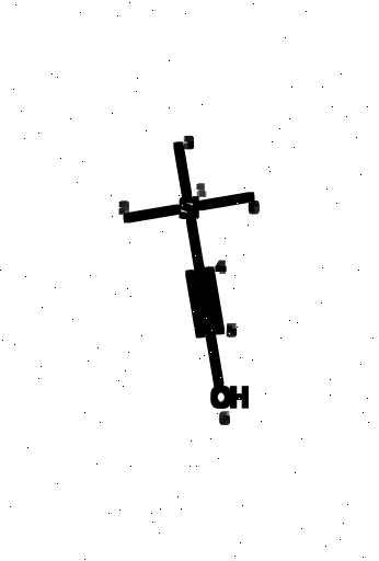 C[Si](C)(C)C#CO